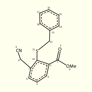 COC(=O)c1cccc(CC#N)c1SCc1ccccc1